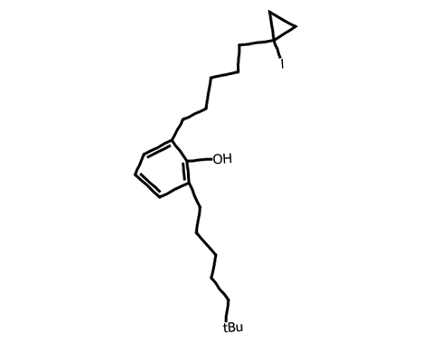 CC(C)(C)CCCCCc1cccc(CCCCCC2(I)CC2)c1O